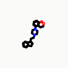 c1ccc2c(c1)CCC2CCN1CCN(c2cccc3c2CCOO3)CC1